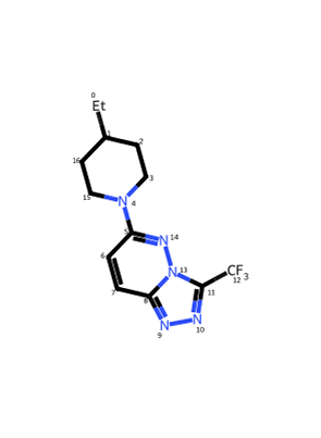 CCC1CCN(c2ccc3nnc(C(F)(F)F)n3n2)CC1